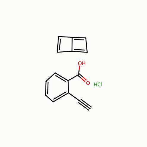 C#Cc1ccccc1C(=O)O.Cl.c1cc2ccc1-2